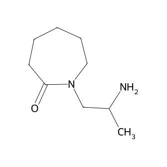 CC(N)CN1CCCCCC1=O